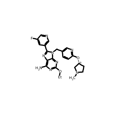 CCOc1nc(N)c2nc(-c3cncc(F)c3)n(Cc3ccc(O[C@@H]4CCN(C)C4)nc3)c2n1